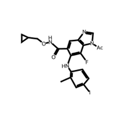 CC(=O)n1cnc2cc(C(=O)NOCC3CC3)c(Nc3ccc(I)cc3C)c(F)c21